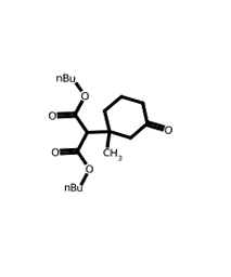 CCCCOC(=O)C(C(=O)OCCCC)C1(C)CCCC(=O)C1